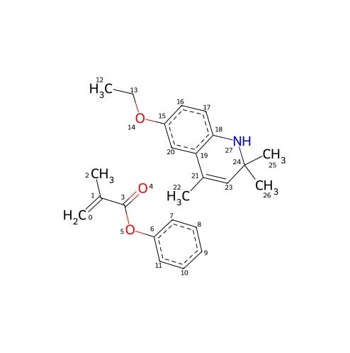 C=C(C)C(=O)Oc1ccccc1.CCOc1ccc2c(c1)C(C)=CC(C)(C)N2